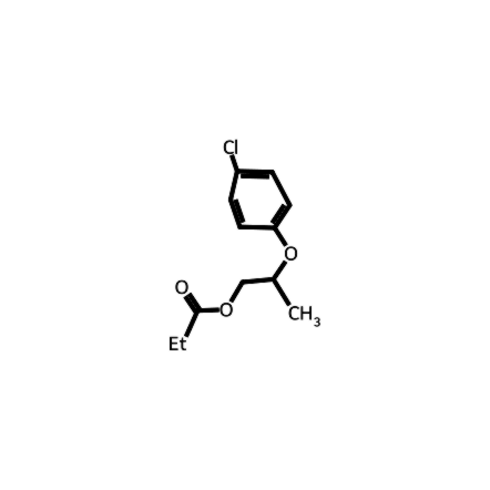 CCC(=O)OCC(C)Oc1ccc(Cl)cc1